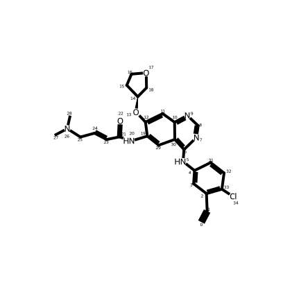 C#Cc1cc(Nc2ncnc3cc(O[C@H]4CCOC4)c(NC(=O)/C=C/CN(C)C)cc23)ccc1Cl